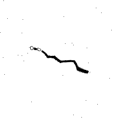 [CH2]CCCCCO[O]